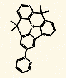 CC1(C)c2cccc3c2-n2c4c1cccc4c1cc(-c4ccccc4)cc(c12)C3(C)C